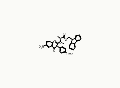 COc1ccc(-n2c([C@H](C)N(C)C(=O)OCC3c4ccccc4-c4ccccc43)nc3ccc([N+](=O)[O-])cc3c2=O)cc1